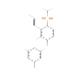 CC=Cc1c(S(=O)(=O)C(F)F)ccc(Oc2cc(F)cc(C#N)c2)c1C#N